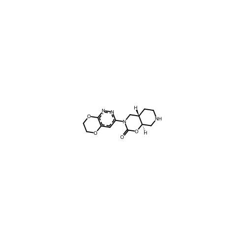 O=C1O[C@@H]2CNCC[C@H]2CN1c1cc2c(nn1)OCCO2